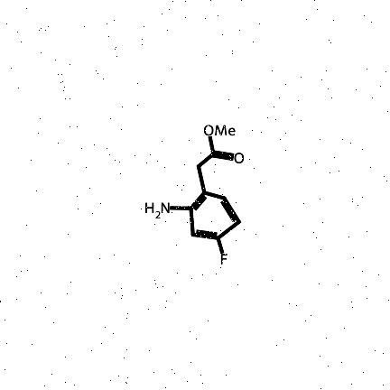 COC(=O)Cc1ccc(F)cc1N